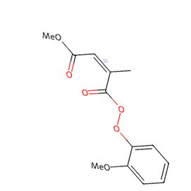 COC(=O)/C=C(/C)C(=O)OOc1ccccc1OC